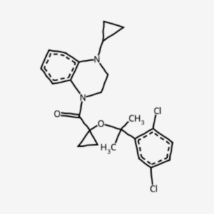 CC(C)(OC1(C(=O)N2CCN(C3CC3)c3ccccc32)CC1)c1cc(Cl)ccc1Cl